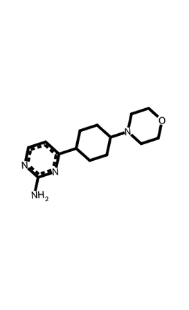 Nc1nccc(C2CCC(N3CCOCC3)CC2)n1